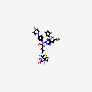 CN1CCN(c2ccc(N(C(=O)CCCC[C@@H]3SC[C@@H]4NC(=O)N[C@@H]43)c3ncc(/C=C/C#N)c(NC4CCCC4)n3)cc2)CC1